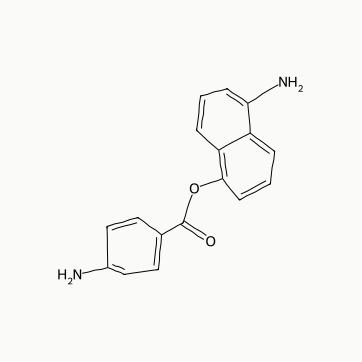 Nc1ccc(C(=O)Oc2cccc3c(N)cccc23)cc1